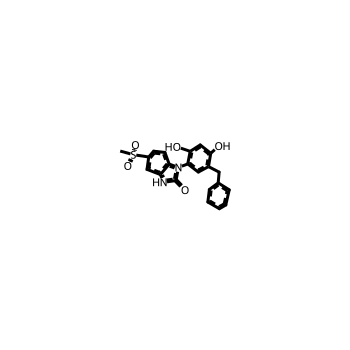 CS(=O)(=O)c1ccc2c(c1)[nH]c(=O)n2-c1cc(Cc2ccccc2)c(O)cc1O